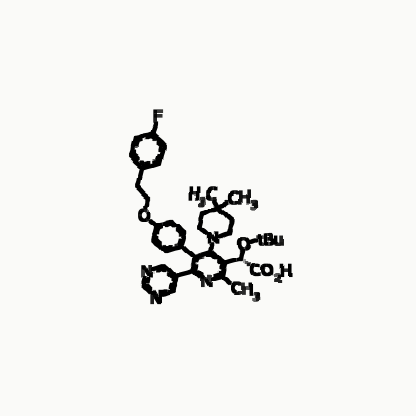 Cc1nc(-c2cncnc2)c(-c2ccc(OCCc3ccc(F)cc3)cc2)c(N2CCC(C)(C)CC2)c1[C@H](OC(C)(C)C)C(=O)O